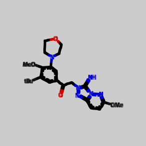 COc1ccc2nn(CC(=O)c3cc(N4CCOCC4)c(OC)c(C(C)(C)C)c3)c(=N)n2n1